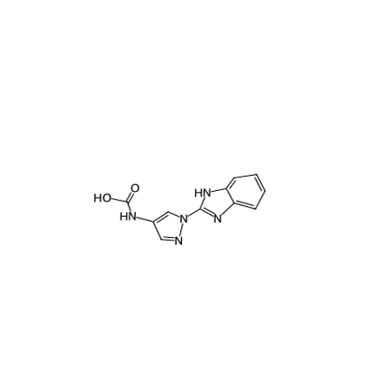 O=C(O)Nc1cnn(-c2nc3ccccc3[nH]2)c1